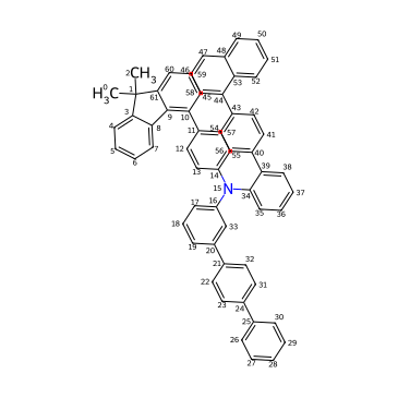 CC1(C)c2ccccc2-c2c(-c3ccc(N(c4cccc(-c5ccc(-c6ccccc6)cc5)c4)c4ccccc4-c4ccc(-c5cccc6ccccc56)cc4)cc3)cccc21